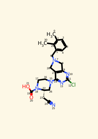 Cc1cccc(CN2Cc3nc(Cl)nc(N4CCN(C(=O)O)[C@@H](CC#N)C4)c3C2)c1C